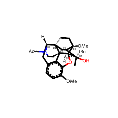 COc1ccc2c3c1O[C@H]1[C@@]4(OC)CC[C@@]5(C[C@@H]4[C@](C)(O)C(C)(C)C)[C@@H](C2)N(C(C)=O)CC[C@]315